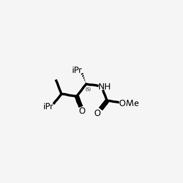 COC(=O)N[C@H](C(=O)C(C)C(C)C)C(C)C